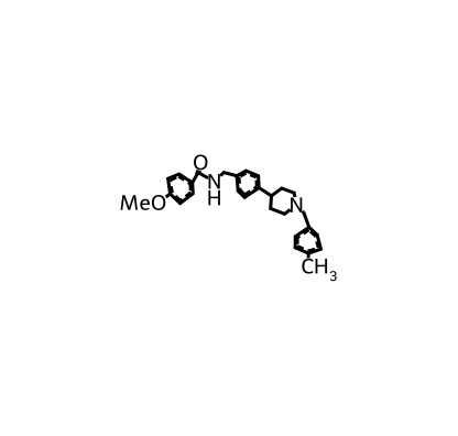 COc1ccc(C(=O)NCc2ccc(C3CCN(Cc4ccc(C)cc4)CC3)cc2)cc1